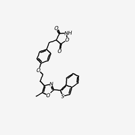 Cc1oc(-c2scc3ccccc23)nc1CCOc1ccc(CC2C(=O)NOC2=O)cc1